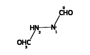 O=C[N]NC=O